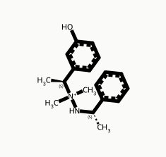 C[C@H](N[N+](C)(C)[C@@H](C)c1cccc(O)c1)c1ccccc1